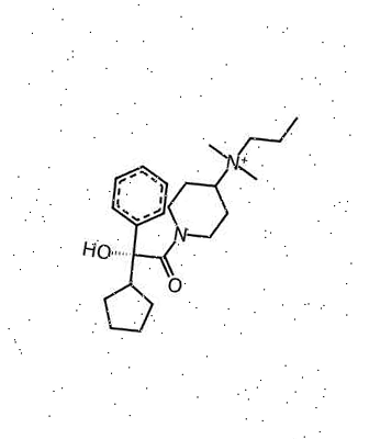 CCC[N+](C)(C)C1CCN(C(=O)[C@](O)(c2ccccc2)C2CCCC2)CC1